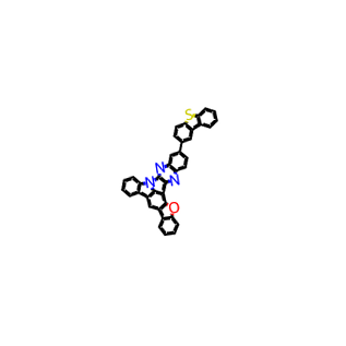 c1ccc2c(c1)oc1c2cc2c3ccccc3n3c4nc5cc(-c6ccc7sc8ccccc8c7c6)ccc5nc4c1c23